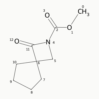 COC(=O)N1CC2(CCCC2)C1=O